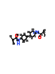 C=C(C)C(=O)Nc1ccc(-c2ccc(NC(=O)C(=C)C)cc2)cc1